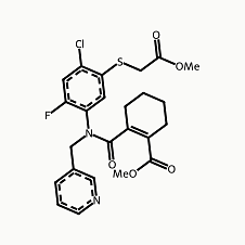 COC(=O)CSc1cc(N(Cc2cccnc2)C(=O)C2=C(C(=O)OC)CCCC2)c(F)cc1Cl